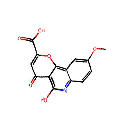 COc1ccc2nc(O)c3c(=O)cc(C(=O)O)oc3c2c1